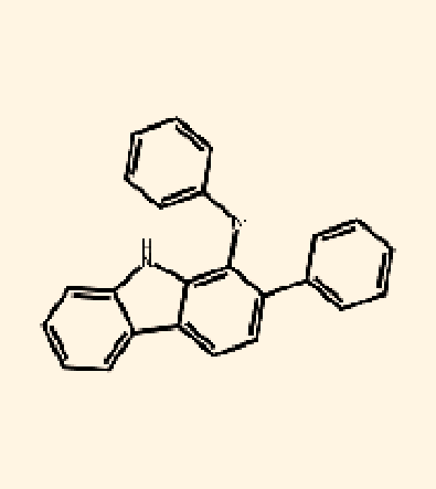 c1ccc([N]c2c(-c3ccccc3)ccc3c2[nH]c2ccccc23)cc1